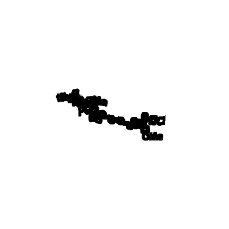 COc1ccc2c(c1)c(CC(=O)OCCOCCOCCOC(=O)c1cn(C3CC3)c3c(OC)c(N4CCN(C(=O)OC(C)(C)C)C(C)C4)c(F)cc3c1=O)c(C)n2C(=O)c1ccc(Cl)cc1